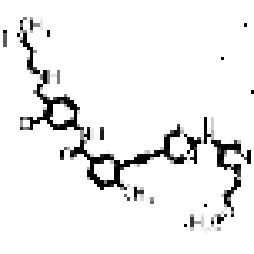 CNCCNCc1ccc(NC(=O)c2ccc(C)c(C#Cc3cnc(Nc4cnn(CCOC)c4)nc3)c2)cc1Cl